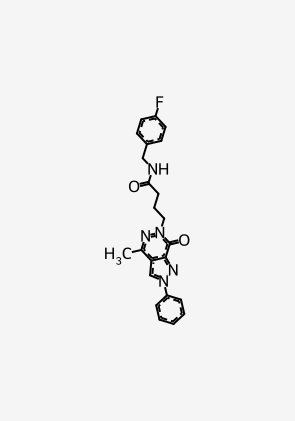 Cc1nn(CCCC(=O)NCc2ccc(F)cc2)c(=O)c2nn(-c3ccccc3)cc12